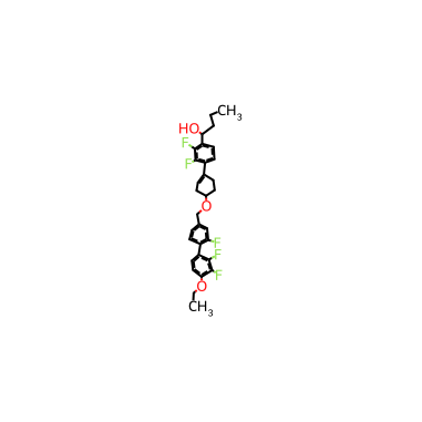 CCCC(O)c1ccc(C2=CCC(OCc3ccc(-c4ccc(OCC)c(F)c4F)c(F)c3)CC2)c(F)c1F